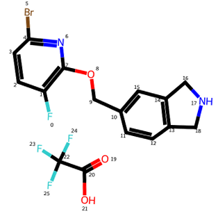 Fc1ccc(Br)nc1OCc1ccc2c(c1)CNC2.O=C(O)C(F)(F)F